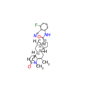 CC1=C2N(C)C(=O)CC[C@]2(C)[C@H]2CC[C@]3(C)[C@@H](C(=O)Nc4cccc(F)c4C#N)CC[C@H]3[C@@H]2C1